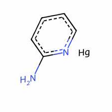 Nc1ccccn1.[Hg]